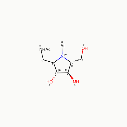 CC(=O)NCC1[C@@H](O)[C@H](O)[C@@H](CO)N1C(C)=O